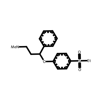 CCS(=O)(=O)c1ccc(OC(CCNC)c2ccccc2)cc1